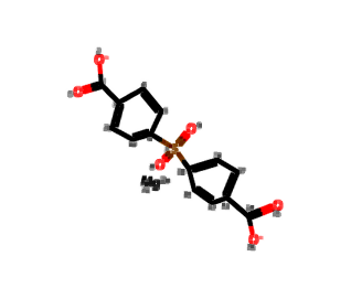 O=C([O-])c1ccc(S(=O)(=O)c2ccc(C(=O)[O-])cc2)cc1.[Mg+2]